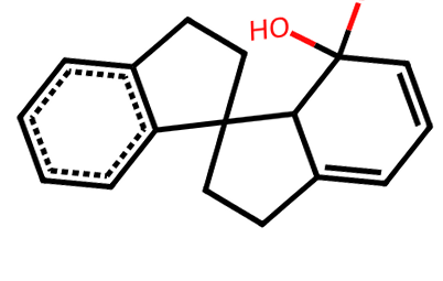 OC1(O)C=CC=C2CCC3(CCc4ccccc43)C21